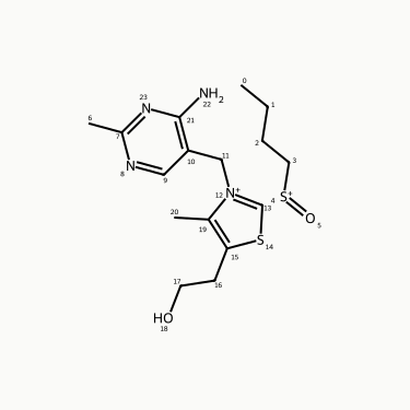 CCCC[S+]=O.Cc1ncc(C[n+]2csc(CCO)c2C)c(N)n1